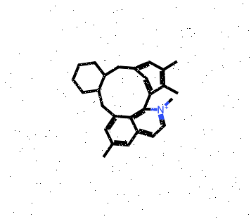 Cc1cc2c3c([n+](C)ccc3c1)-c1cc(cc(C)c1C)CC1CCCCC1C2